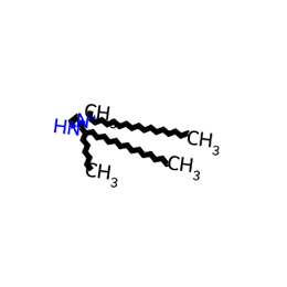 CCCCCCCCCCCCCCCCCC(C)[n+]1cc[nH]c1C(CCCCCC)CCCCCCCCCCCCCCC